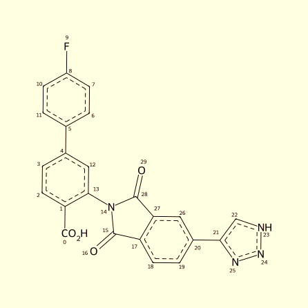 O=C(O)c1ccc(-c2ccc(F)cc2)cc1N1C(=O)c2ccc(-c3c[nH]nn3)cc2C1=O